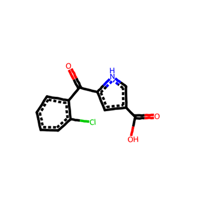 O=C(O)c1c[nH]c(C(=O)c2ccccc2Cl)c1